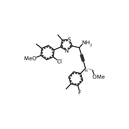 COC[C@@H](C#CC(N)c1nc(-c2cc(C)c(OC)cc2Cl)c(C)s1)c1ccc(C)c(F)c1